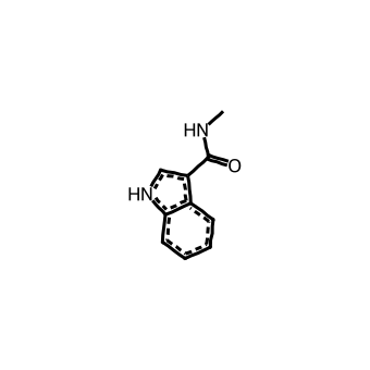 CNC(=O)c1c[nH]c2ccccc12